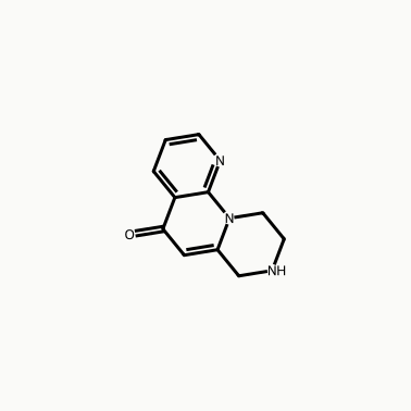 O=c1cc2n(c3ncccc13)CCNC2